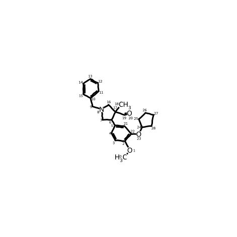 COc1ccc(C2CN(Cc3ccccc3)CC2(C)C=O)cc1OC1CCCC1